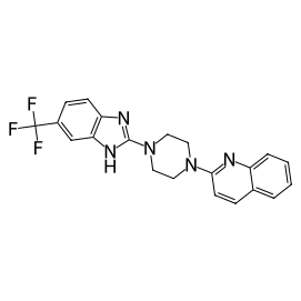 FC(F)(F)c1ccc2nc(N3CCN(c4ccc5ccccc5n4)CC3)[nH]c2c1